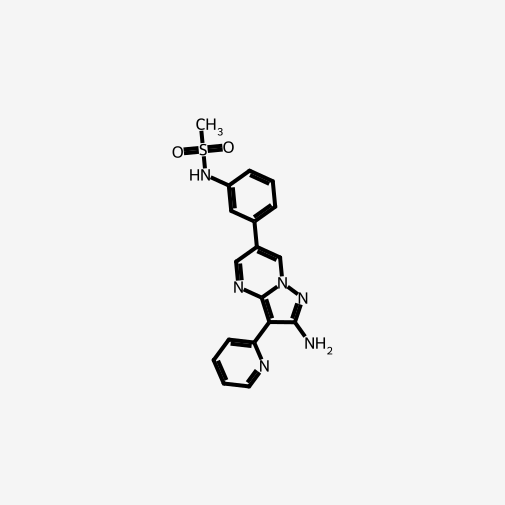 CS(=O)(=O)Nc1cccc(-c2cnc3c(-c4ccccn4)c(N)nn3c2)c1